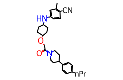 CCCc1ccc(C2CCN(C(=O)COC3CCC(Nc4ccc(C#N)c(C)c4)CC3)CC2)cc1